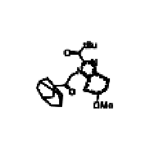 COc1ccc2nc(C(=O)C(C)(C)C)n(CC(=O)C34CC5CC(CC(C5)C3)C4)c2c1